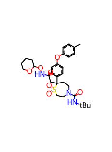 Cc1ccc(Oc2ccc(C3(CC(=O)NOC4CCCCO4)CCN(C(=O)NC(C)(C)C)CCS3(=O)=O)cc2)cc1